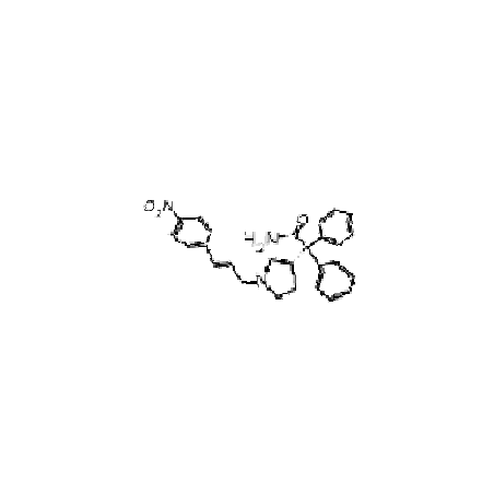 NC(=O)C(c1ccccc1)(c1ccccc1)[C@@H]1CCN(C/C=C/c2ccc([N+](=O)[O-])cc2)C1